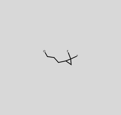 [O]CCCC1CC1(F)F